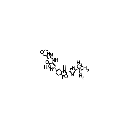 CC(C)(C)c1cnc(C(=O)Nc2cc(-c3cc(Nc4cc5n(n4)CCOC5)c(=O)[nH]n3)ccc2F)cn1